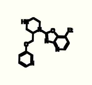 CCc1ccnc2nc(N3CCNCC3COc3cccnc3)oc12